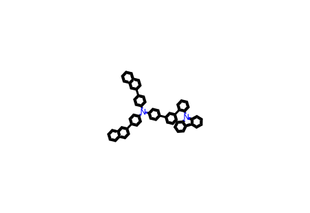 c1cc(-c2ccc(N(c3ccc(-c4ccc5ccccc5c4)cc3)c3ccc(-c4ccc5ccccc5c4)cc3)cc2)cc(-c2ccccc2-n2c3ccccc3c3ccccc32)c1